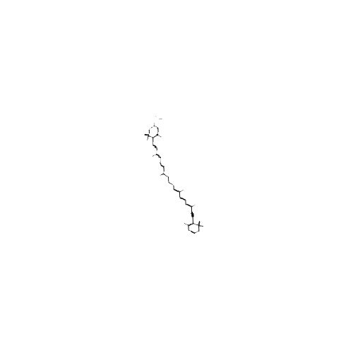 CC1=C(C#C/C(C)=C/C=C/C(C)=C/C=C/C=C(C)/C=C/C=C(C)/C=C/C2=C(C)CC(O)CC2(C)C)C(C)(C)CC=C1